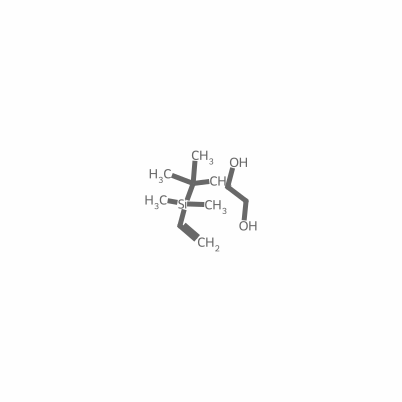 C=C[Si](C)(C)C(C)(C)C.OCCO